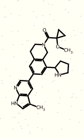 COC1(C(=O)N2CCc3cc(-c4cnc5[nH]cc(C)c5c4)cc(C4CCCN4)c3C2)CC1